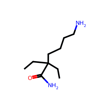 CCC(CC)(CCCCN)C(N)=O